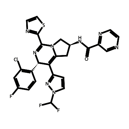 O=C(N[C@H]1CC2=C(c3ccn(C(F)F)n3)[C@H](c3ccc(F)cc3Cl)N=C(c3nccs3)N2C1)c1cnccn1